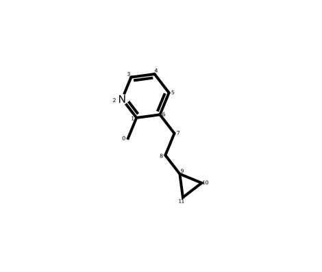 Cc1ncccc1CCC1CC1